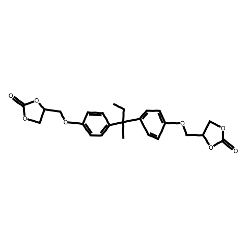 CCC(C)(c1ccc(OCC2COC(=O)O2)cc1)c1ccc(OCC2COC(=O)O2)cc1